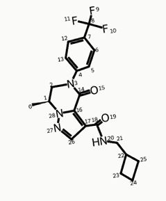 C[C@H]1CN(c2ccc(C(F)(F)F)cc2)C(=O)c2c(C(=O)NCC3CCC3)cnn21